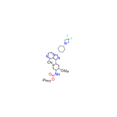 CCC[C@H](C)OC(=O)Nc1ccc(-c2nc([C@H]3CC[C@@H](N4CC(F)(F)C4)CC3)n3ccnc(C)c23)cc1OC